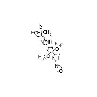 C/C=C\C(=C/c1ncc(-c2cc(OC)c(C(=O)NCCN3CCOCC3)c(OC(F)F)c2)[nH]1)C(C)(C)C#N